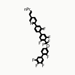 CCCC=Cc1ccc(-c2ccc(-c3cc(F)c(C(F)(F)Oc4ccc(-c5cc(F)c(F)c(F)c5)c(F)c4)c(F)c3)c(F)c2)nc1